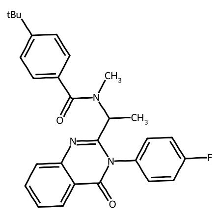 CC(c1nc2ccccc2c(=O)n1-c1ccc(F)cc1)N(C)C(=O)c1ccc(C(C)(C)C)cc1